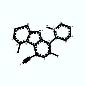 Cc1cc(C#N)c2c(oc3cccc(C)c32)c1-c1cccc[n+]1C